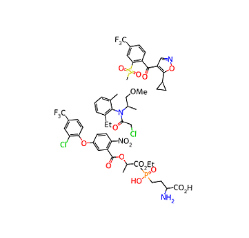 CCOC(=O)C(C)OC(=O)c1cc(Oc2ccc(C(F)(F)F)cc2Cl)ccc1[N+](=O)[O-].CCc1cccc(C)c1N(C(=O)CCl)C(C)COC.CP(=O)(O)CCC(N)C(=O)O.CS(=O)(=O)c1cc(C(F)(F)F)ccc1C(=O)c1cnoc1C1CC1